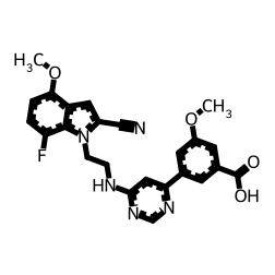 COc1cc(C(=O)O)cc(-c2cc(NCCn3c(C#N)cc4c(OC)ccc(F)c43)ncn2)c1